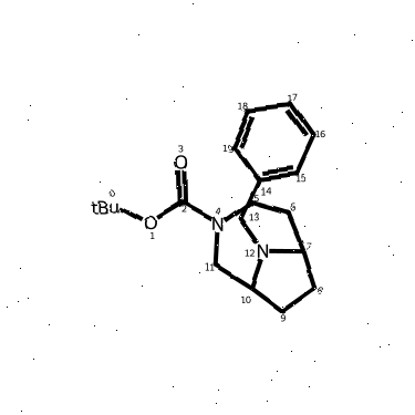 CC(C)(C)OC(=O)N1CCC2CCC(C1)N2Cc1ccccc1